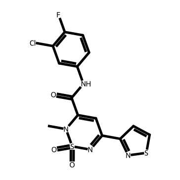 CN1C(C(=O)Nc2ccc(F)c(Cl)c2)=CC(c2ccsn2)=NS1(=O)=O